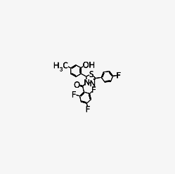 Cc1ccc(C2SC(c3ccc(F)cc3)=NN2C(=O)c2c(F)cc(F)cc2F)c(O)c1